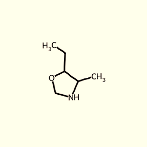 CCC1OCNC1C